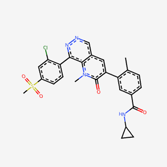 Cc1ccc(C(=O)NC2CC2)cc1-c1cc2cnnc(-c3ccc(S(C)(=O)=O)cc3Cl)c2n(C)c1=O